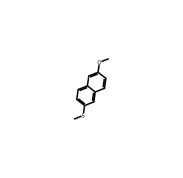 COc1ccc2cc(SC)ccc2c1